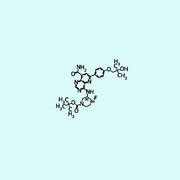 CC(C)(O)COc1ccc(-c2cc(C(N)=O)c3ncnc(N[C@@H]4CN(C(=O)OC(C)(C)C)CC[C@H]4F)c3n2)cc1